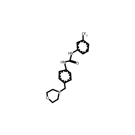 O=C(Nc1ccc(CN2CCOCC2)cc1)Nc1cccc(C(F)(F)F)c1